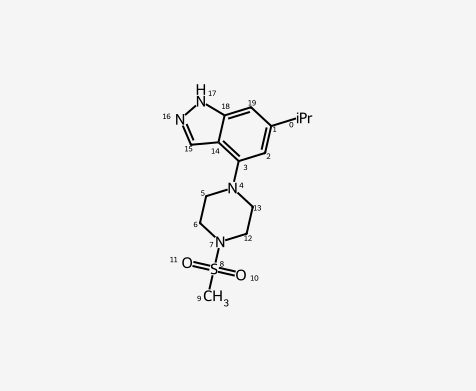 CC(C)c1cc(N2CCN(S(C)(=O)=O)CC2)c2cn[nH]c2c1